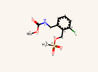 CC(C)(C)OC(=O)NCc1cccc(F)c1COS(C)(=O)=O